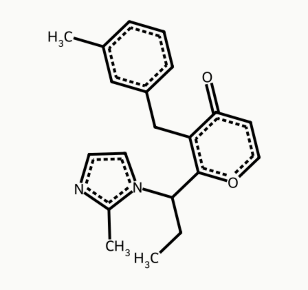 CCC(c1occc(=O)c1Cc1cccc(C)c1)n1ccnc1C